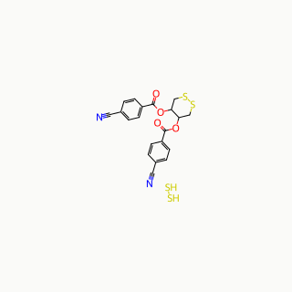 N#Cc1ccc(C(=O)OC2CSSCC2OC(=O)c2ccc(C#N)cc2)cc1.SS